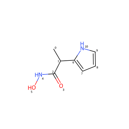 CC(C(=O)NO)c1ccc[nH]1